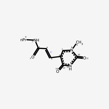 CCCNC(=O)/C=C/c1cn(C)c(=O)[nH]c1=O